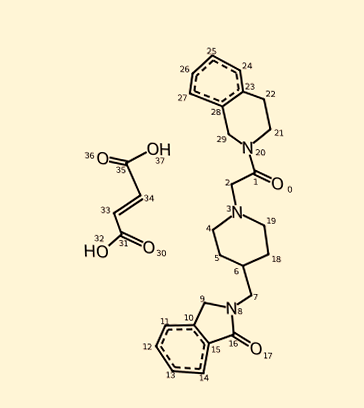 O=C(CN1CCC(CN2Cc3ccccc3C2=O)CC1)N1CCc2ccccc2C1.O=C(O)/C=C/C(=O)O